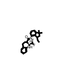 CCC1CC(C)(C)c2cccc(NC(=O)C3CCc4ccccc4NN3C(F)F)c21